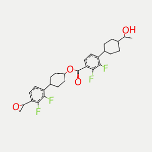 CC(O)C1CCC(c2ccc(C(=O)OC3CCC(c4ccc(C5CO5)c(F)c4F)CC3)c(F)c2F)CC1